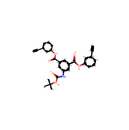 C#Cc1cccc(OC(=O)c2cc(NC(=O)OC(C)(C)C)cc(C(=O)Oc3cccc(C#C)c3)c2)c1